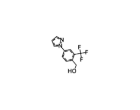 OCc1ccc(-n2cccn2)cc1C(F)(F)F